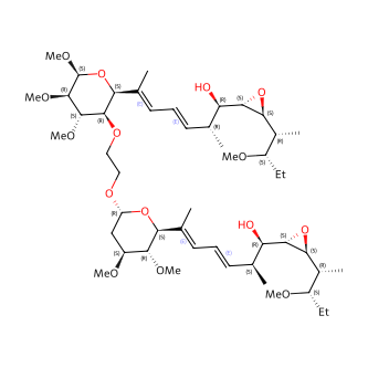 CC[C@H](OC)[C@@H](C)[C@@H]1O[C@H]1[C@H](O)[C@H](C)/C=C/C=C(\C)[C@@H]1O[C@H](OC)[C@H](OC)[C@@H](OC)[C@@H]1OCCO[C@H]1C[C@H](OC)[C@@H](OC)[C@H](/C(C)=C/C=C/[C@H](C)[C@@H](O)[C@@H]2O[C@H]2[C@H](C)[C@H](CC)OC)O1